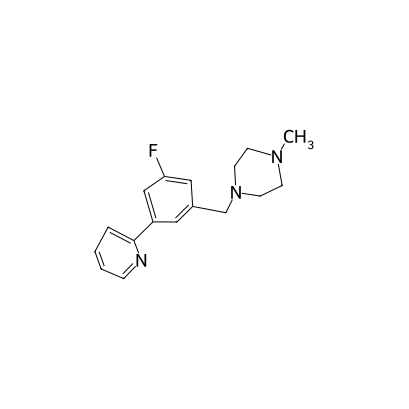 CN1CCN(Cc2cc(F)cc(-c3ccccn3)c2)CC1